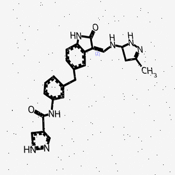 CC1=NNC(N/C=C2\C(=O)Nc3ccc(Cc4cccc(NC(=O)c5cn[nH]c5)c4)cc32)C1